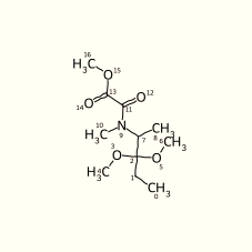 CCC(OC)(OC)C(C)N(C)C(=O)C(=O)OC